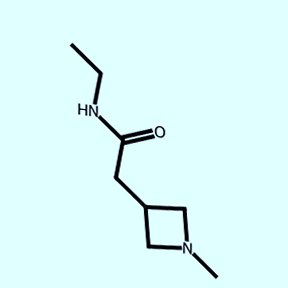 CCNC(=O)CC1CN(C)C1